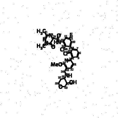 COc1nc(-c2cccc(-c3cc(F)cc(NC(=O)c4nc(C)nn(C)c4=O)c3Cl)c2Cl)ccc1CNC1CCOCC1O